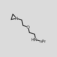 CCCNCCOCCN1CC1